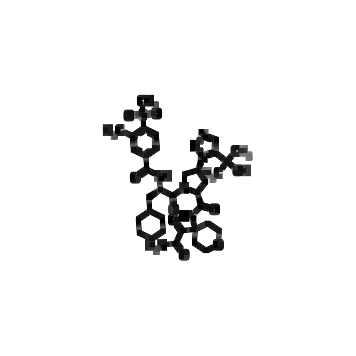 Cc1cc(C(=O)N[C@H](CC2CCCCC2)C(=O)N2C[C@@H](n3nncc3C(C)(C)O)C[C@H]2C(=O)NC2(C(=O)C(N)=O)CCOCC2)ccc1S(C)(=O)=O